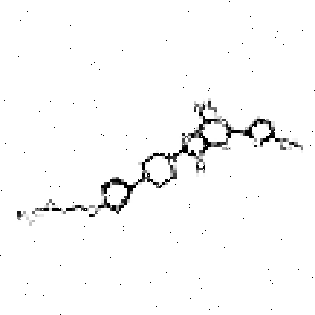 COCCOc1ccc(N2CCN(c3nc4c(N)nc(-c5ccc(C)o5)nc4[nH]3)CC2)cc1